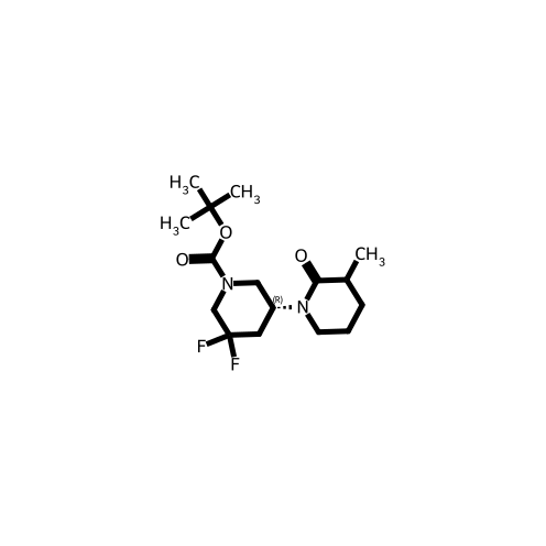 CC1CCCN([C@H]2CN(C(=O)OC(C)(C)C)CC(F)(F)C2)C1=O